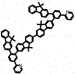 CC1(C)c2ccccc2-c2ccc(-c3ccc(-c4ccccn4)cc3-c3ccc4c(c3)C(C)(C)c3cc(-c5ccc6c(c5)C(C)(C)c5cc(-c7cc(-c8ccccn8)ccc7-c7ccc8c(c7)C(C)(C)c7ccccc7-8)ccc5-6)ccc3-4)cc21